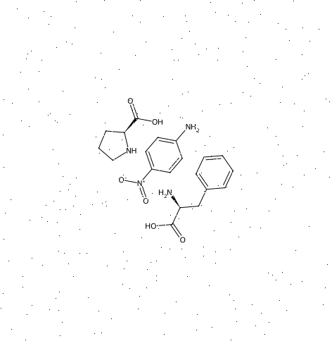 N[C@@H](Cc1ccccc1)C(=O)O.Nc1ccc([N+](=O)[O-])cc1.O=C(O)[C@@H]1CCCN1